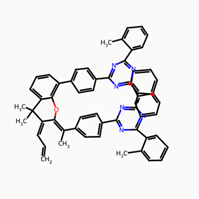 C=C/C=C1\C(=C(/C)c2ccc(-c3nc(-c4ccccc4)nc(-c4ccccc4C)n3)cc2)Oc2c(-c3ccc(-c4nc(-c5ccccc5)nc(-c5ccccc5C)n4)cc3)cccc2C1(C)C